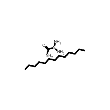 CCCCCCCCCCCCC.NC(=O)N(N)N